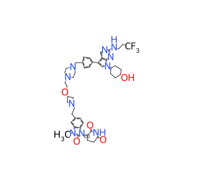 Cn1c(=O)n([C@H]2CCC(=O)NC2=O)c2ccc(CCN3CC(OCCN4CCN(Cc5ccc(-c6cn([C@H]7CC[C@H](O)CC7)c7nc(NCCC(F)(F)F)ncc67)cc5)CC4)C3)cc21